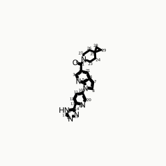 O=C(c1cnc2c(ccn2-c2ccc(-c3nnc[nH]3)nc2)c1)N1CCC2(CC1)CC2